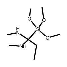 CCC(NC)(NC)[Si](OC)(OC)OC